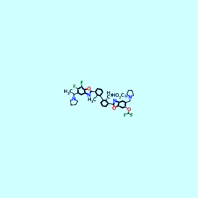 Cc1c(-c2nc3cc(CN4CCC[C@H]4C(=O)O)c(OC(F)F)cc3o2)cccc1-c1cccc(-c2nc3cc(C(C)N4CCCC4)c(F)c(F)c3o2)c1C